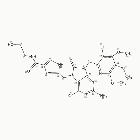 COc1nc(CN2C(=O)/C(=C\c3cc(C(=O)NCCO)c[nH]3)c3c(Cl)nc(N)nc32)c(Cl)c(OC)c1OC